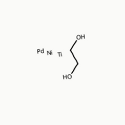 OCCO.[Ni].[Pd].[Ti]